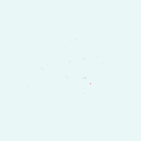 Cc1ccccc1N(c1ccc2c(c1)N(c1ccc(C(C)(C)C)cc1-c1ccccc1)c1cc(C(C)(C)C)cc3c1B2c1cc(C(C)(C)C)cc2c4c(n-3c12)-c1ccccc1C4(C)C)c1ccccc1C